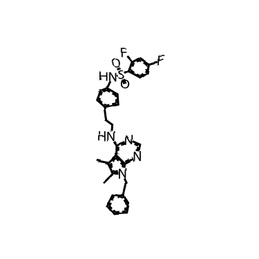 Cc1c(C)n(Cc2ccccc2)c2ncnc(NCCc3ccc(NS(=O)(=O)c4ccc(F)cc4F)cc3)c12